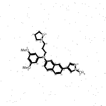 COc1cc(OC)cc(N(CCCN2CCCO2)c2ccc3ccc(-c4cnn(C)c4)cc3c2)c1